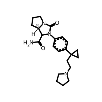 NC(=O)C1[C@H]2[CH]CCN2C(=O)N1c1ccc(C2(CCN3CCCC3)CC2)cc1